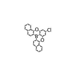 Clc1cc2c3c(c1)Oc1c(ccc4ccccc14)B3c1ccc3ccccc3c1O2